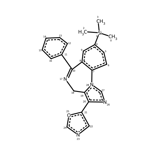 C[Si](C)(C)c1ccc2c(c1)C(c1ccccc1)=NCc1c(-c3cnco3)ncn1-2